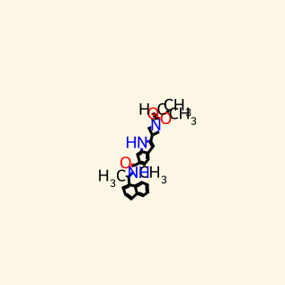 Cc1cc2cc(C3CN(C(=O)OC(C)(C)C)C3)[nH]c2cc1C(=O)N[C@H](C)c1cccc2ccccc12